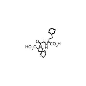 C[C@H](N[C@@H](CCc1ccccc1)C(=O)O)C(=O)N1CC2(CC1C(=O)O)SCCS2